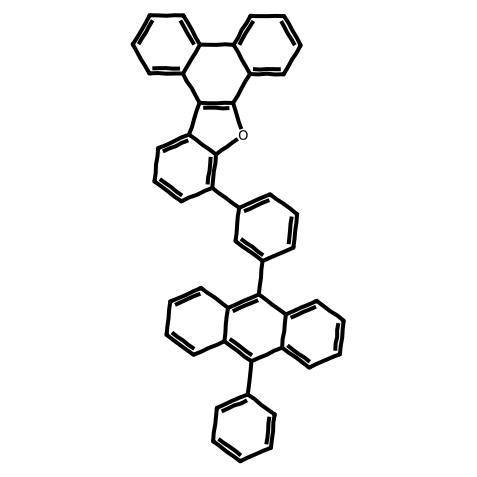 c1ccc(-c2c3ccccc3c(-c3cccc(-c4cccc5c4oc4c6ccccc6c6ccccc6c54)c3)c3ccccc23)cc1